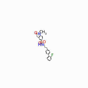 CN1C(=O)Cc2cc(S(=O)(=O)NCCCc3ccc(-c4ccccc4F)cc3)ccc21